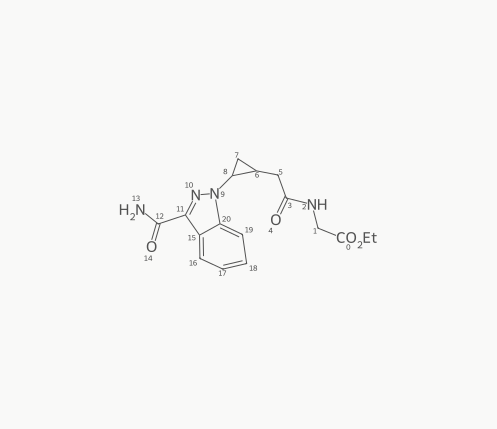 CCOC(=O)CNC(=O)CC1CC1n1nc(C(N)=O)c2ccccc21